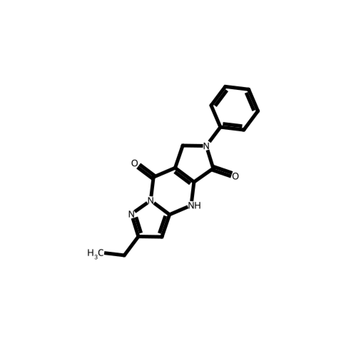 CCc1cc2[nH]c3c(c(=O)n2n1)CN(c1ccccc1)C3=O